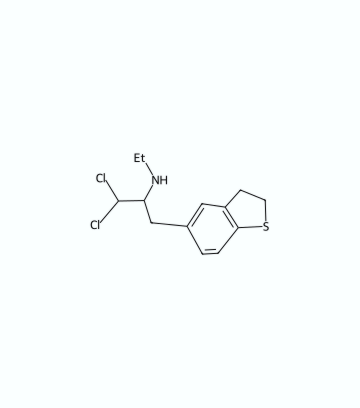 CCNC(Cc1ccc2c(c1)CCS2)C(Cl)Cl